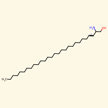 CCCCCCCCCCCCCCCCCCCCCCCC/C=C/C(N)CO